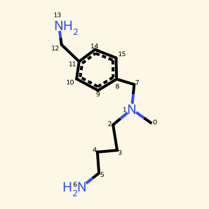 CN(CCCCN)Cc1ccc(CN)cc1